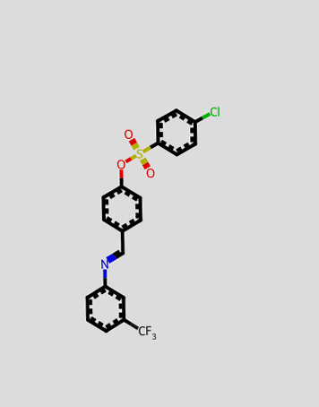 O=S(=O)(Oc1ccc(/C=N/c2cccc(C(F)(F)F)c2)cc1)c1ccc(Cl)cc1